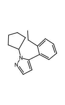 CCc1ccccc1-c1ccnn1C1CCCC1